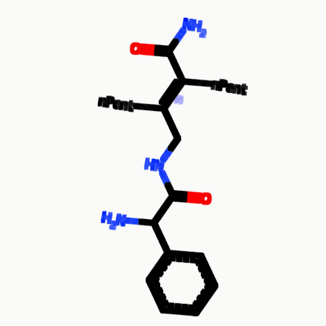 CCCCC/C(CNC(=O)C(N)c1ccccc1)=C(/CCCCC)C(N)=O